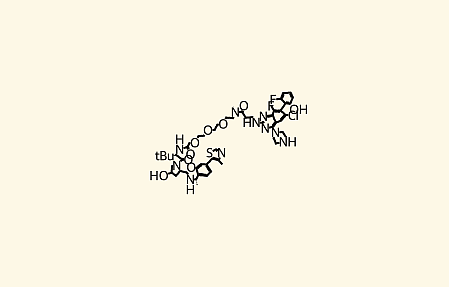 Cc1ncsc1-c1ccc([C@H](C)NC(=O)C2CC(O)CN2C(=O)[C@@H](NC(=O)COCCOCCOCCN(C)C(=O)CCNc2nc(N3CCNCC3)c3cc(Cl)c(-c4c(O)cccc4F)c(F)c3n2)C(C)(C)C)cc1